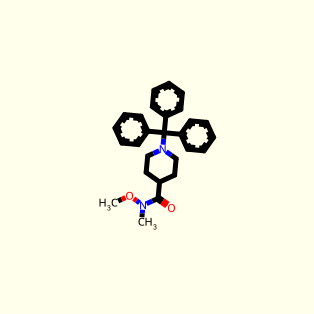 CON(C)C(=O)C1CCN(C(c2ccccc2)(c2ccccc2)c2ccccc2)CC1